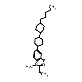 C=CC(=O)N(C)c1ccc(C2CCC(C3CCC(CCCCC)CC3)CC2)cc1F